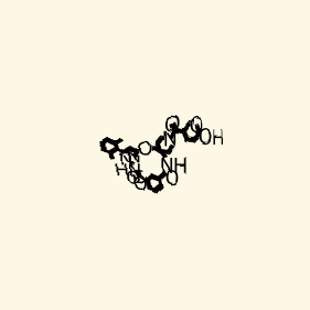 Cc1cccc(C)c1-c1cc2nc(n1)NS(=O)(=O)c1cccc(c1)C(=O)NCC1(CCN(C(=O)C3CCC(O)OC3)CC1)CO2